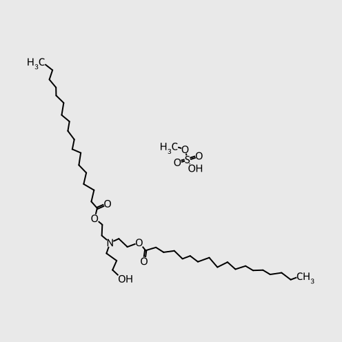 CCCCCCCCCCCCCCCCCC(=O)OCCN(CCCO)CCOC(=O)CCCCCCCCCCCCCCCCC.COS(=O)(=O)O